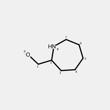 [O]CC1CCCCCN1